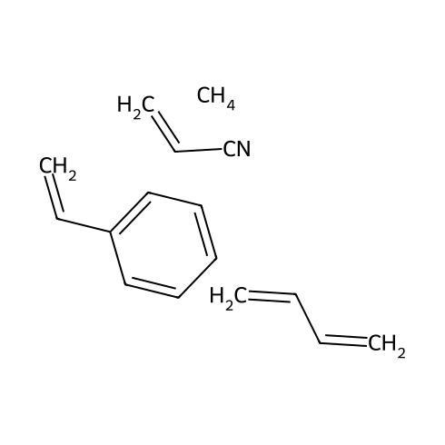 C.C=CC#N.C=CC=C.C=Cc1ccccc1